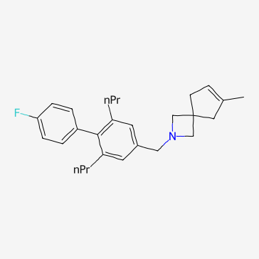 CCCc1cc(CN2CC3(CC=C(C)C3)C2)cc(CCC)c1-c1ccc(F)cc1